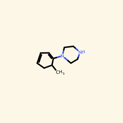 CC1CC=CC=C1N1CCNCC1